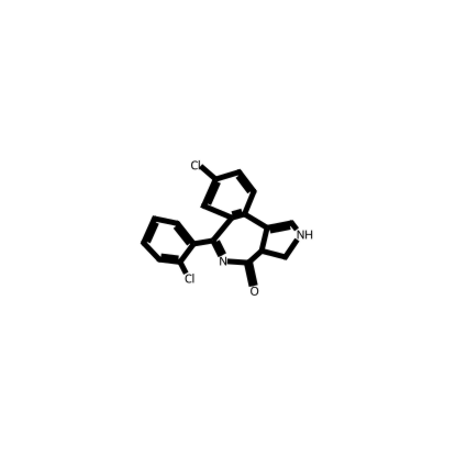 O=C1N=C(c2ccccc2Cl)c2cc(Cl)ccc2C2=CNCC12